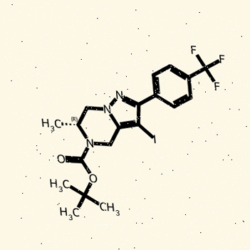 C[C@@H]1Cn2nc(-c3ccc(C(F)(F)F)cc3)c(I)c2CN1C(=O)OC(C)(C)C